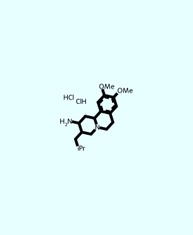 COc1cc2c(cc1OC)C1CC(N)C(CC(C)C)CN1CC2.Cl.Cl